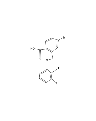 O=C(O)c1ccc(Br)cc1COc1cccc(F)c1F